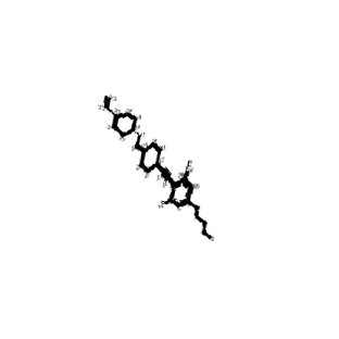 CCCCCc1cc(F)c(C#CC2CCC(CC[C@H]3CC[C@H](CC)CC3)CC2)c(F)c1